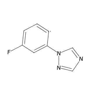 Fc1cc[c]c(-n2cncn2)c1